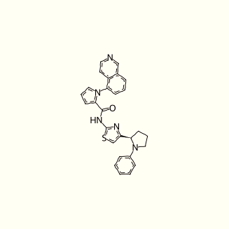 O=C(Nc1nc([C@H]2CCCN2c2ccccc2)cs1)c1cccn1-c1cccc2cnccc12